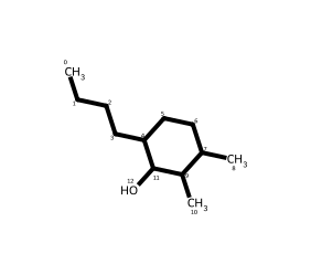 CCCCC1CCC(C)C(C)C1O